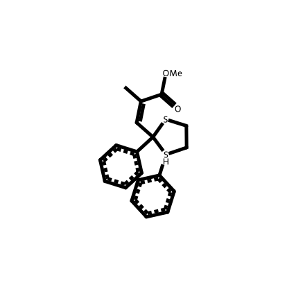 COC(=O)C(C)=CC1(c2ccccc2)SCC[SH]1c1ccccc1